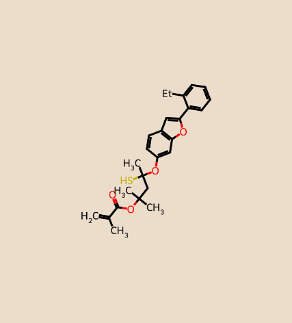 C=C(C)C(=O)OC(C)(C)CC(C)(S)Oc1ccc2cc(-c3ccccc3CC)oc2c1